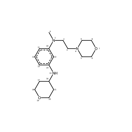 CN(CCN1CCOCC1)c1cc[c]c(NC2CCOCC2)c1